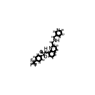 O=S(=O)(Nc1cccc2ccc(CNCc3cccnc3)nc12)c1ccc(C(F)(F)F)cc1